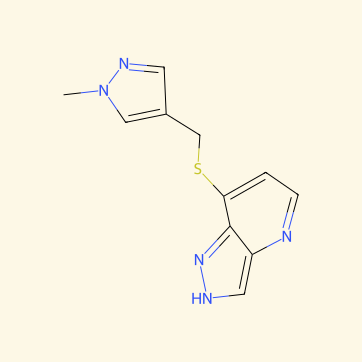 Cn1cc(CSc2ccnc3c[nH]nc23)cn1